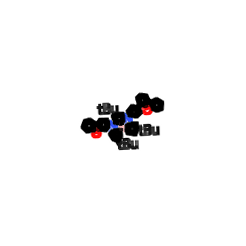 CC(C)(C)c1ccc2c(c1)B1c3ccc(C(C)(C)C)cc3N(c3ccc(-c4cccc5c4oc4ccccc45)cc3)c3cc(C(C)(C)C)cc(c31)N2c1ccc2c(c1)oc1ccccc12